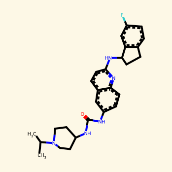 CC(C)N1CCC(NC(=O)Nc2ccc3nc(NC4CCc5ccc(F)cc54)ccc3c2)CC1